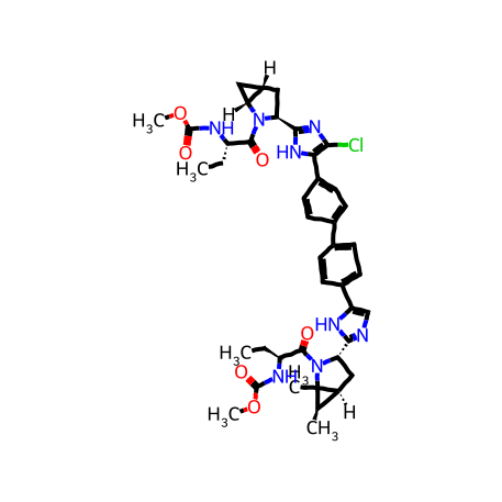 CC[C@H](NC(=O)OC)C(=O)N1[C@@H]2C[C@@H]2C[C@H]1c1nc(Cl)c(-c2ccc(-c3ccc(-c4cnc([C@@H]5C[C@H]6[C@@H](C)C6(C)N5C(=O)[C@H](CC)NC(=O)OC)[nH]4)cc3)cc2)[nH]1